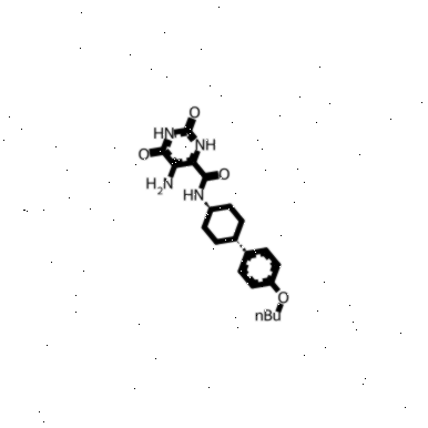 CCCCOc1ccc([C@H]2CC[C@@H](NC(=O)c3[nH]c(=O)[nH]c(=O)c3N)CC2)cc1